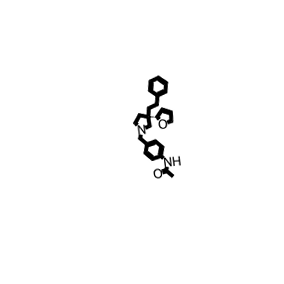 CC(=O)Nc1ccc(CN2CCC(CCc3ccccc3)([C@@H]3C=CCO3)C2)cc1